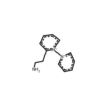 NCCc1cccc[n+]1-[n+]1ccccc1